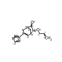 C=CCON1C(=O)N2CC(n3ncnn3)=CC1C2